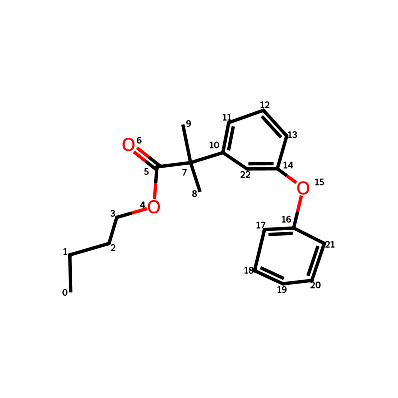 CCCCOC(=O)C(C)(C)c1cccc(Oc2ccccc2)c1